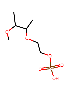 COC(C)C(C)OCCOS(=O)(=O)O